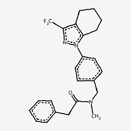 CN(Cc1ccc(-n2nc(C(F)(F)F)c3c2CCCC3)cc1)C(=O)Cc1ccccc1